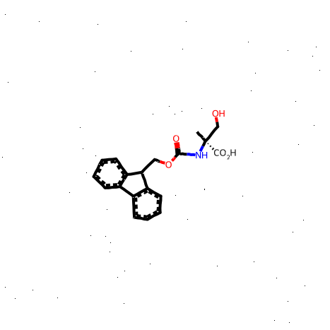 C[C@@](CO)(NC(=O)OCC1c2ccccc2-c2ccccc21)C(=O)O